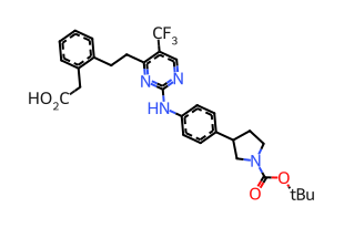 CC(C)(C)OC(=O)N1CCC(c2ccc(Nc3ncc(C(F)(F)F)c(CCc4ccccc4CC(=O)O)n3)cc2)C1